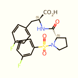 O=C(O)[C@H](Cc1ccc(F)cc1)NC(=O)[C@@H]1CCCN1S(=O)(=O)c1cccc(F)c1